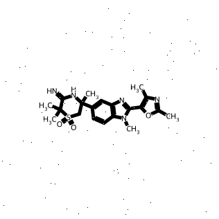 Cc1nc(C)c(-c2nc3cc(C4(C)CS(=O)(=O)C(C)(C)C(=N)N4)ccc3n2C)o1